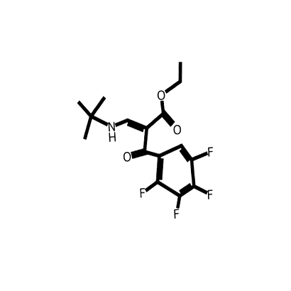 CCOC(=O)/C(=C/NC(C)(C)C)C(=O)c1cc(F)c(F)c(F)c1F